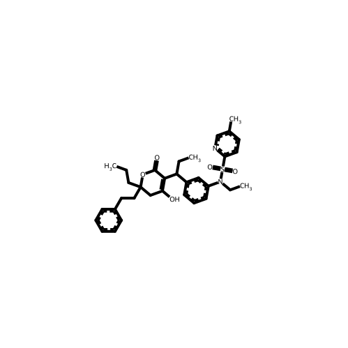 CCCC1(CCc2ccccc2)CC(O)=C(C(CC)c2cccc(N(CC)S(=O)(=O)c3ccc(C)cn3)c2)C(=O)O1